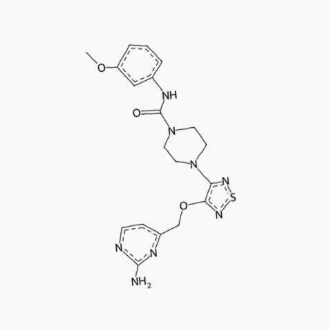 COc1cccc(NC(=O)N2CCN(c3nsnc3OCc3ccnc(N)n3)CC2)c1